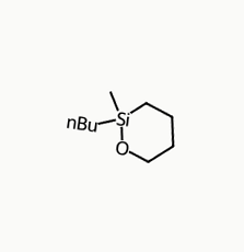 CCCC[Si]1(C)CCCCO1